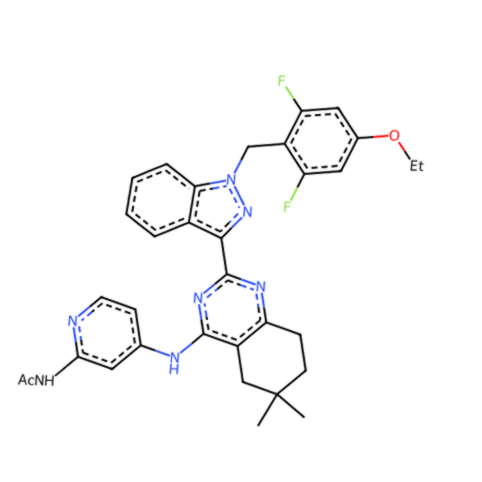 CCOc1cc(F)c(Cn2nc(-c3nc4c(c(Nc5ccnc(NC(C)=O)c5)n3)CC(C)(C)CC4)c3ccccc32)c(F)c1